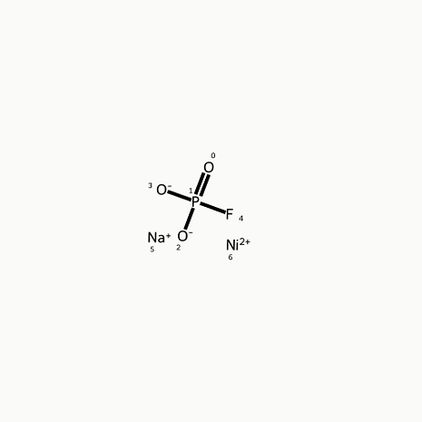 O=P([O-])([O-])F.[Na+].[Ni+2]